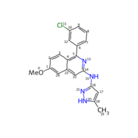 COc1ccc2c(-c3cccc(Cl)c3)nc(Nc3cc(C)[nH]n3)cc2c1